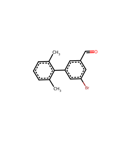 Cc1cccc(C)c1-c1cc(Br)cc(C=O)c1